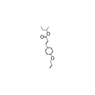 C=CCOc1ccc(C=CC(=O)OC(C)CC)cc1